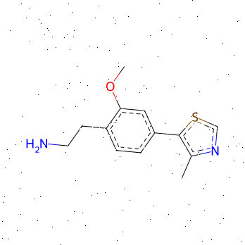 COc1cc(-c2scnc2C)ccc1CCN